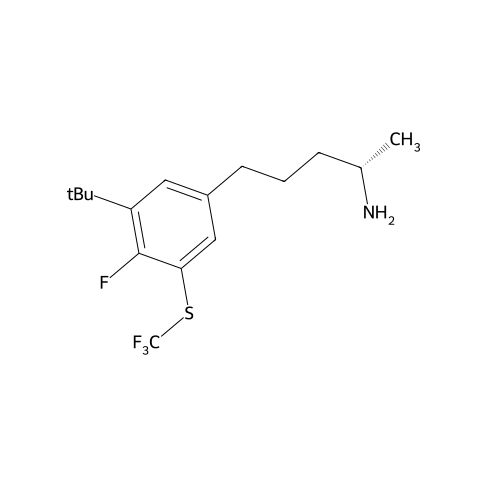 C[C@H](N)CCCc1cc(SC(F)(F)F)c(F)c(C(C)(C)C)c1